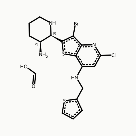 N[C@H]1CCCN[C@H]1c1sc2c(NCc3cccs3)cc(Cl)nc2c1Br.O=CO